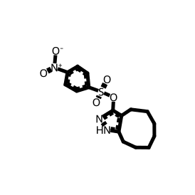 O=[N+]([O-])c1ccc(S(=O)(=O)Oc2n[nH]c3c2CCCCCCC3)cc1